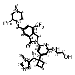 CC(C)[C@H]1CN(C)CCN1Cc1cc2c(c(C(F)(F)F)c1)CN(c1cc(C3([C@@H](F)c4nncn4C)CCC3)cc(NCCO)n1)C2=O